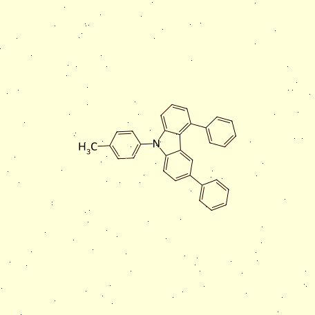 Cc1ccc(-n2c3ccc(-c4ccccc4)cc3c3c(-c4ccccc4)cccc32)cc1